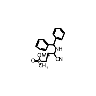 COP(C)(=O)CCC(C#N)NC(c1ccccc1)c1ccccc1